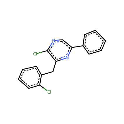 Clc1ccccc1Cc1nc(-c2ccccc2)cnc1Cl